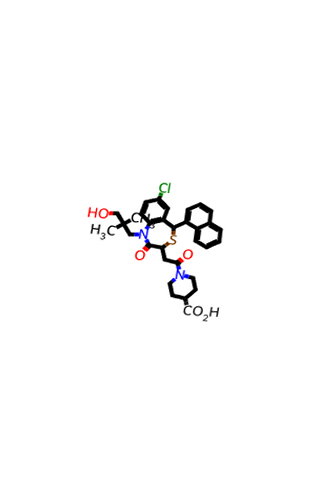 CC(C)(CO)CN1C(=O)C(CC(=O)N2CCC(C(=O)O)CC2)SC(c2cccc3ccccc23)c2cc(Cl)ccc21